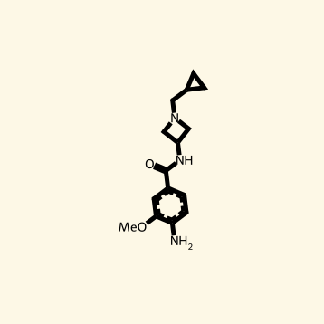 COc1cc(C(=O)NC2CN(CC3CC3)C2)ccc1N